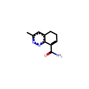 Cc1cc2c(nn1)C(C(N)=O)=CCC2